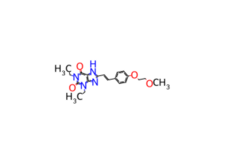 CCn1c(=O)c2[nH]c(C=Cc3ccc(OCCOC)cc3)nc2n(CC)c1=O